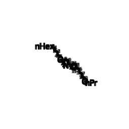 CCCCCCC=CCCCOc1ccc(-c2ccc(CCCCCOCCC)cc2)nc1